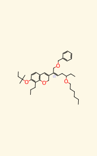 CCCCCCOC(CC)C/C=C(\COCc1ccccc1)C1=Cc2ccc(OC(C)(C)CC)c(CCC)c2OC1